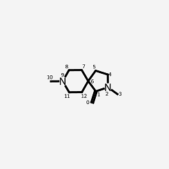 C=C1N(C)CCC12CCN(C)CC2